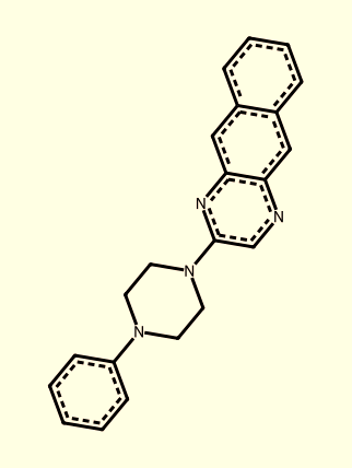 c1ccc(N2CCN(c3cnc4cc5ccccc5cc4n3)CC2)cc1